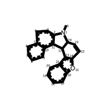 CN1c2ccc3ccccc3c2C2c3c(oc4ccccc34)C=CC21